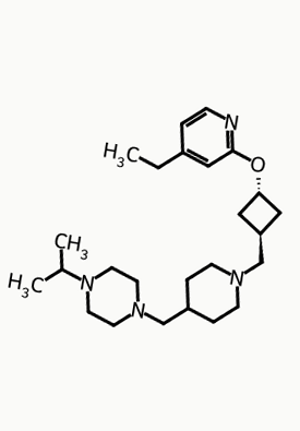 CCc1ccnc(O[C@H]2C[C@H](CN3CCC(CN4CCN(C(C)C)CC4)CC3)C2)c1